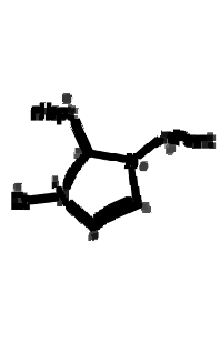 CCCCCCCC1N(CC)C=CN1CCCCC